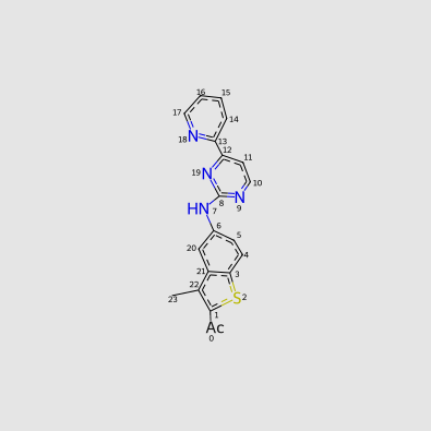 CC(=O)c1sc2ccc(Nc3nccc(-c4ccccn4)n3)cc2c1C